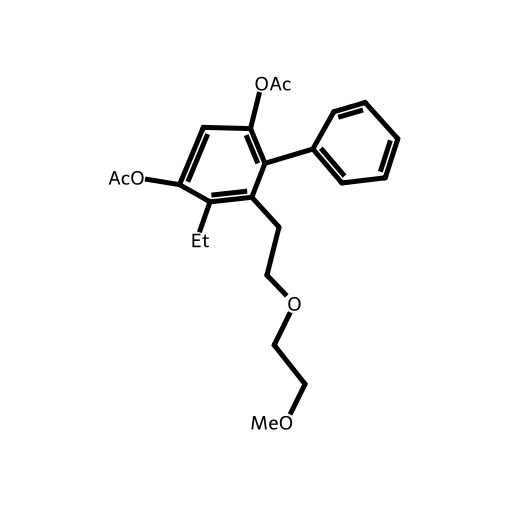 CCc1c(OC(C)=O)cc(OC(C)=O)c(-c2ccccc2)c1CCOCCOC